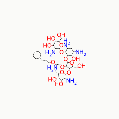 NC[C@@H]1O[C@H](O[C@H]2[C@@H](OCCOCCCC3CCCCC3)[C@H](O[C@@H]3[C@@H](O)[C@H](N)C[C@H](N)[C@H]3O[C@H]3O[C@H](CO)[C@@H](O)[C@H](O)[C@H]3N)O[C@@H]2CO)[C@H](N)[C@@H](O)[C@@H]1O